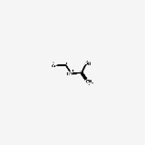 C=C(O)NCC(C)=O